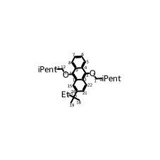 CCCC(C)COc1c2ccccc2c(OCC(C)CCC)c2cc(C(C)(C)CC)ccc12